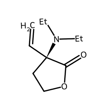 C=C[C@@]1(N(CC)CC)CCOC1=O